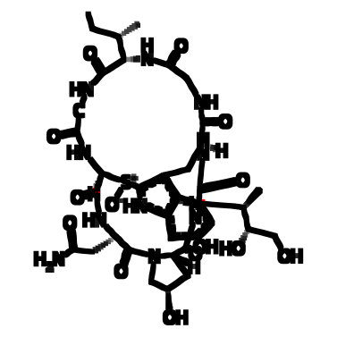 CC[C@H](C)[C@@H]1NC(=O)CNC(=O)[C@@H]2Cc3c([nH]c4cc(O)ccc34)[S+]([O-])[C@H](NC(=O)CNC1=O)C(=O)N[C@@H](CC(N)=O)C(=O)N1C[C@H](O)C[C@H]1C(=O)N[C@@H]([C@@H](C)[C@@H](O)CO)C(=O)N2